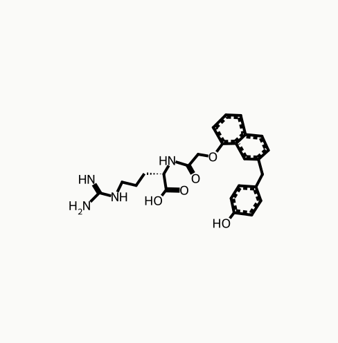 N=C(N)NCCC[C@H](NC(=O)COc1cccc2ccc(Cc3ccc(O)cc3)cc12)C(=O)O